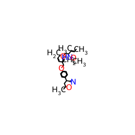 C=C(/C=C\C(=C)OCC(NOC)/C(C)=C/C)COc1ccc(C(C#N)CC(C)=O)cc1